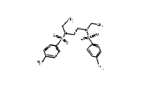 CCN(CCN(CC)S(=O)(=O)c1ccc(C)cc1)S(=O)(=O)c1ccc(C)cc1